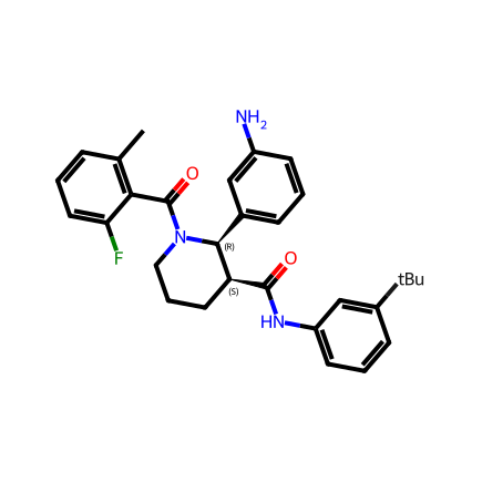 Cc1cccc(F)c1C(=O)N1CCC[C@H](C(=O)Nc2cccc(C(C)(C)C)c2)[C@@H]1c1cccc(N)c1